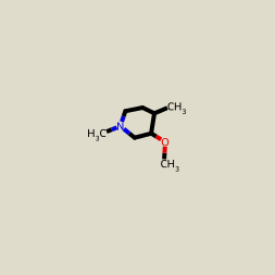 COC1CN(C)CCC1C